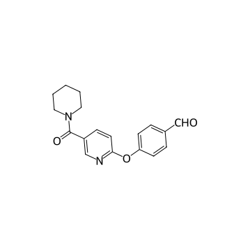 O=Cc1ccc(Oc2ccc(C(=O)N3CCCCC3)cn2)cc1